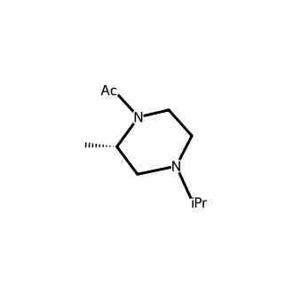 CC(=O)N1CCN(C(C)C)C[C@@H]1C